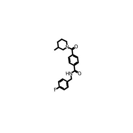 CC1CCCN(C(=O)c2ccc(C(=O)NCc3ccc(F)cc3)cc2)C1